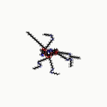 CCCCC/C=C\C/C=C\CCCCCCCCC1(CCCCCCCC/C=C\C/C=C\CCCCC)O[C@@H]2[C@H](O1)[C@@H](OC1[C@H]3OC(CCCCCCCC/C=C\C/C=C\CCCCC)(CCCCCCCCCCCCCCCCCC)O[C@H]3C[C@@H]1N(C)C)CN(C)C[C@H]2OC1[C@@H]2OC(CCCCCCCC/C=C\C/C=C\CCCCC)(CCCCCCCC/C=C\CCCCCCCC)O[C@@H]2C[C@@H]1N(C)C